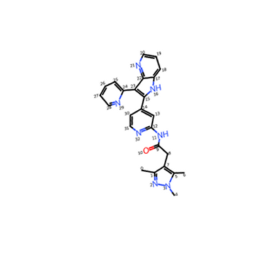 Cc1nn(C)c(C)c1CC(=O)Nc1cc(-c2[nH]c3cccnc3c2-c2ccccn2)ccn1